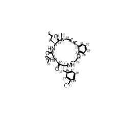 CCC[C@@H]1NC(=O)[C@@H](C(C)C)NC(=O)[C@@H](Cc2cccc(Cl)c2)NCCOc2ccccc2CCCNC1=O